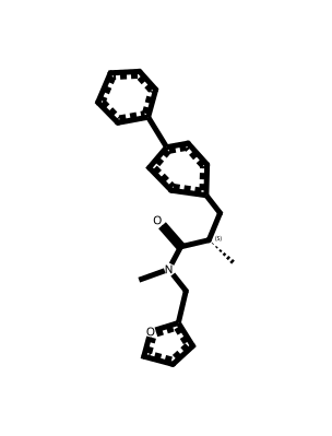 C[C@@H](Cc1ccc(-c2ccccc2)cc1)C(=O)N(C)Cc1ccco1